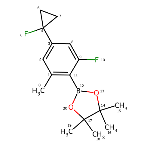 Cc1cc(C2(F)CC2)cc(F)c1B1OC(C)(C)C(C)(C)O1